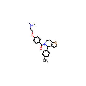 CN(C)CCOc1ccc(C(=O)N2CCc3sccc3C2c2ccc(C(F)(F)F)cc2)cc1